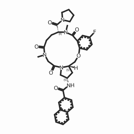 CN1CC(=O)N2C[C@@H](NC(=O)c3ccc4ccccc4c3)C[C@H]2COc2ccc(F)cc2C(=O)N(C)[C@@H](C(=O)N2CCCC2)CCC1=O